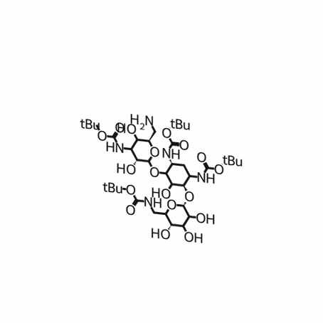 CC(C)(C)OC(=O)NCC1O[C@H](O[C@@H]2C(NC(=O)OC(C)(C)C)C[C@@H](NC(=O)OC(C)(C)C)C(OC3O[C@H](CN)C(O)C(NC(=O)OC(C)(C)C)[C@H]3O)C2O)C(O)C(O)[C@@H]1O